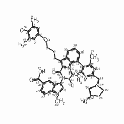 Cc1cc(OCCCc2c3n(c4c(-c5c(C)nc(CN6CCC(O)C6)nc5C)cccc24)[C@H](C)C(Cl)N(c2cn(C)c4ccc(C(=O)O)cc24)C3=O)cc(C)c1Cl